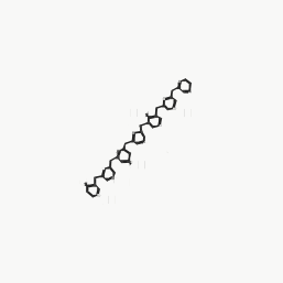 Cc1ccc(O)c(Cc2cc(C)cc(Cc3cc(C)cc(Cc4cc(C)cc(Cc5cc(C)cc(Cc6cc(C)cc(Cc7cc(C)ccc7O)c6O)c5O)c4O)c3O)c2O)c1